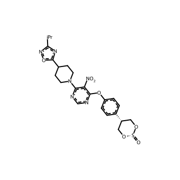 CC(C)c1noc(C2CCN(c3ncnc(Oc4ccc([C@H]5CO[S@@](=O)OC5)cc4)c3[N+](=O)[O-])CC2)n1